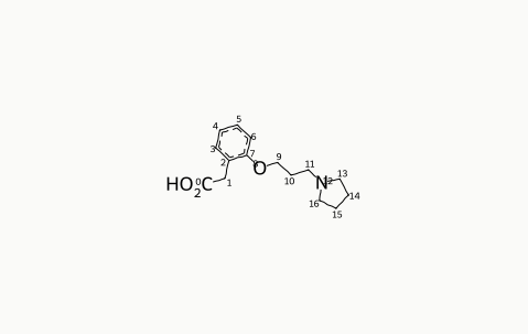 O=C(O)Cc1ccccc1OCCCN1CCCC1